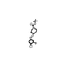 CC(C)(C)OC(=O)N1CCC(OOc2ccc(Cl)c(F)c2)CC1